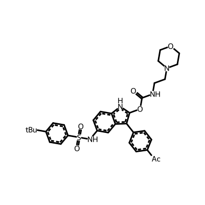 CC(=O)c1ccc(-c2c(OC(=O)NCCN3CCOCC3)[nH]c3ccc(NS(=O)(=O)c4ccc(C(C)(C)C)cc4)cc23)cc1